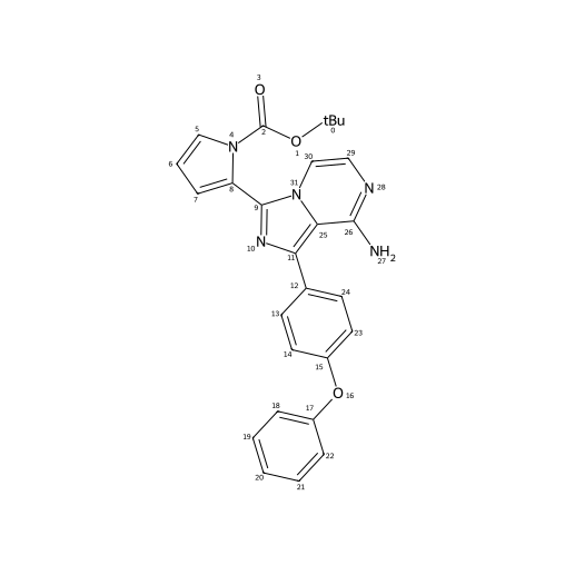 CC(C)(C)OC(=O)n1cccc1-c1nc(-c2ccc(Oc3ccccc3)cc2)c2c(N)nccn12